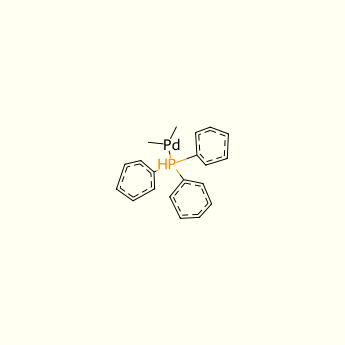 [CH3][Pd]([CH3])[PH](c1ccccc1)(c1ccccc1)c1ccccc1